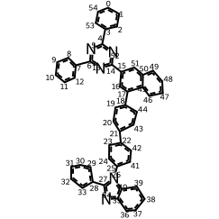 c1ccc(-c2nc(-c3ccccc3)nc(-c3cc(-c4ccc(-c5ccc(-n6c(-c7ccccc7)nc7ccccc76)cc5)cc4)c4ccccc4c3)n2)cc1